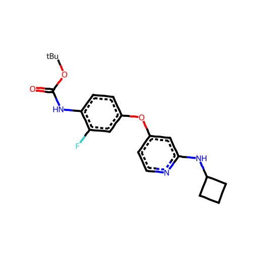 CC(C)(C)OC(=O)Nc1ccc(Oc2ccnc(NC3CCC3)c2)cc1F